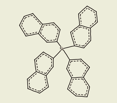 c1ccc2cc([Si](c3ccc4ccccc4c3)(c3ccc4ccccc4c3)c3ccc4ccccc4c3)ccc2c1